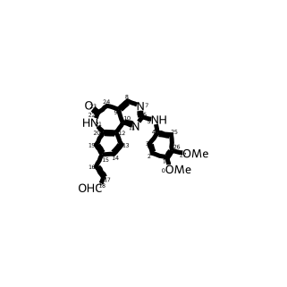 COc1ccc(Nc2ncc3c(n2)-c2ccc(/C=C/C=O)cc2NC(=O)C3)cc1OC